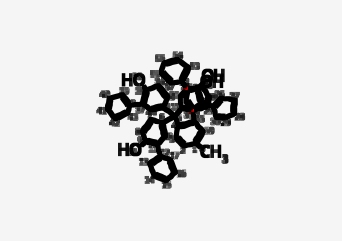 Cc1ccc(C(c2ccc(O)c(-c3ccccc3)c2)(c2ccc(O)c(-c3ccccc3)c2)c2ccc(O)c(-c3ccccc3)c2)c(-c2ccc(O)c(-c3ccccc3)c2)c1